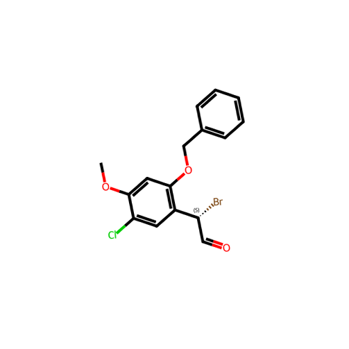 COc1cc(OCc2ccccc2)c([C@H](Br)C=O)cc1Cl